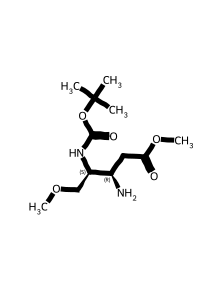 COC[C@@H](NC(=O)OC(C)(C)C)[C@H](N)CC(=O)OC